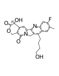 Cc1cc2c(CCCCO)c3c(nc2cc1F)-c1cc2c(c(=O)n1C3)COC(=O)[C@H]2O